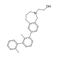 Cc1ccccc1-c1cccc(-c2ccc3c(c2)CCCN(CCO)C3)c1C